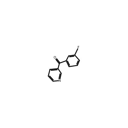 O=C(c1cccnc1)c1cccc(F)c1